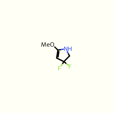 COC1=CC(F)(F)CN1